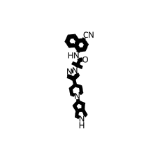 CC(C)(C(=O)Nc1ccc(C#N)c2ccccc12)n1cc(C2CCN(C3CC4CNCC4C3)CC2)cn1